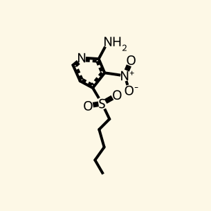 CCCCCS(=O)(=O)c1ccnc(N)c1[N+](=O)[O-]